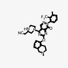 Cc1cccc(-n2ncc3c(N4CCNC(CC#N)C4)nc(Oc4cccc5c4CCN(C)C5)nc3c2=O)c1C(F)(F)F